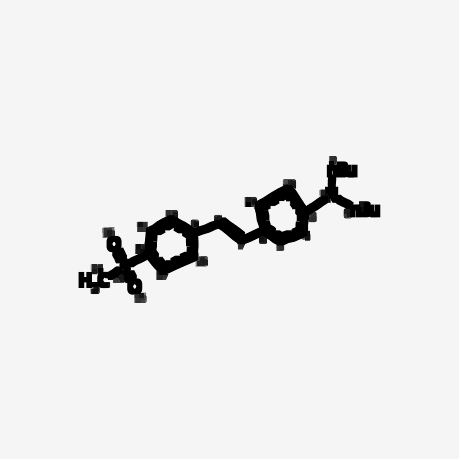 CCCCN(CCCC)c1ccc(C=Cc2ccc(S(C)(=O)=O)cc2)cc1